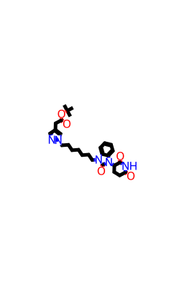 CC(C)(C)OC(=O)Cc1cnn(CCCCCCCn2c(=O)n(C3CCC(=O)NC3=O)c3ccccc32)c1